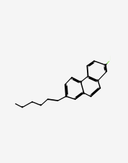 CCCCCCc1ccc2c(ccc3cc(F)ccc32)c1